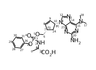 C[C@H](NP(=O)(OC[C@@H]1C=C[C@H](n2cnc3c(N(C)C)nc(N)nc32)C1)Oc1ccccc1)C(=O)O